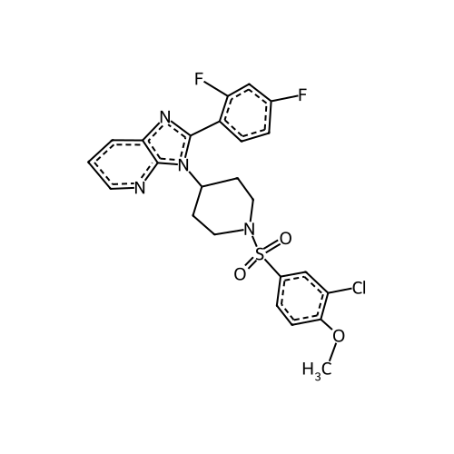 COc1ccc(S(=O)(=O)N2CCC(n3c(-c4ccc(F)cc4F)nc4cccnc43)CC2)cc1Cl